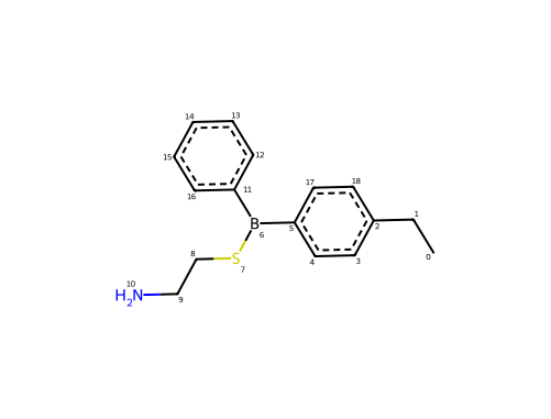 CCc1ccc(B(SCCN)c2ccccc2)cc1